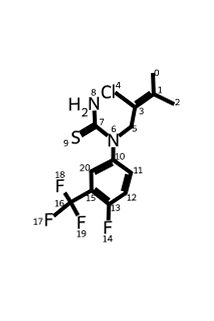 CC(C)=C(Cl)CN(C(N)=S)c1ccc(F)c(C(F)(F)F)c1